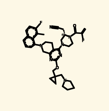 C=C(F)C(=O)N1CCN(c2nc(OCC3(CN4CCCC4)CC3)nc3c2CCN(c2cccc4ccc(F)c(C)c24)C3)C[C@@H]1CC#N